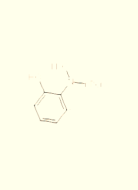 CCCCCN(C)c1ccccc1O